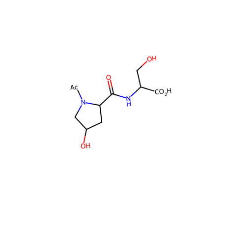 CC(=O)N1CC(O)CC1C(=O)NC(CO)C(=O)O